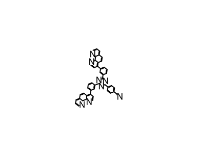 N#Cc1ccc(-c2nc(-c3cccc(-c4ccnc5c4ccc4cccnc45)c3)nc(-c3cccc(-c4ccnc5c4ccc4cccnc45)c3)n2)cc1